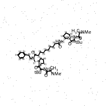 CN[C@@H](C)C(=O)N[C@H](C(=O)N1CCC[C@H]1CNC(=O)CCCCCCCCC(=O)N(CCc1ccccc1)C[C@@H]1CCCN1C(=O)[C@@H](NC(=O)[C@H](C)NC)C(C)(C)C)C(C)(C)C